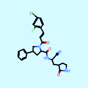 N#CC(CC1CCNC1=O)NC(=O)C1CC(c2ccccc2)CN1C(=O)/C=C/c1ccc(Cl)cc1F